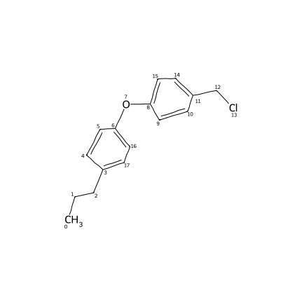 CCCc1ccc(Oc2ccc(CCl)cc2)cc1